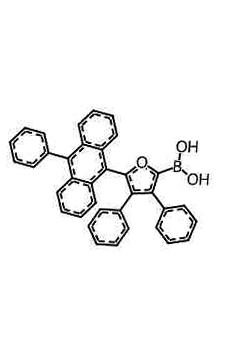 OB(O)c1oc(-c2c3ccccc3c(-c3ccccc3)c3ccccc23)c(-c2ccccc2)c1-c1ccccc1